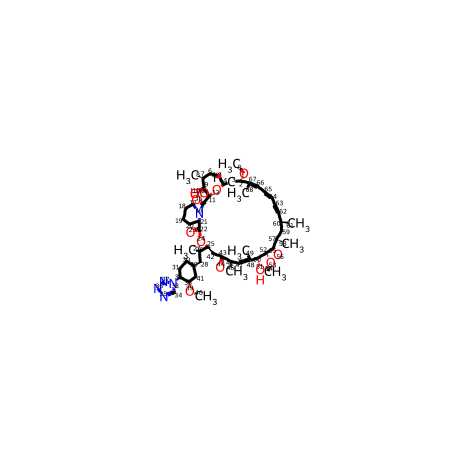 CO[C@H]1C[C@@H]2CC[C@@H](C)C(=O)C(O)(O2)C(=O)N2CCCCC2C(=O)O[C@H]([C@H](C)C[C@@H]2CC[C@H](n3cnnn3)[C@H](OC)C2)CC(=O)[C@H](C)/C=C(\C)[C@@H](O)[C@@H](OC)C(=O)[C@@H](C)C[C@H](C)/C=C/C=C/C=C/1C